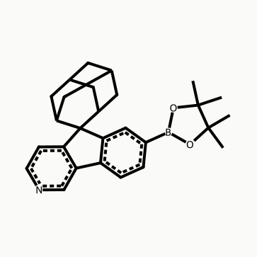 CC1(C)OB(c2ccc3c(c2)C2(c4ccncc4-3)C3CC4CC(C3)CC2C4)OC1(C)C